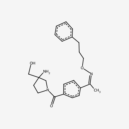 CC(=NOCCCc1ccccc1)c1ccc(C(=O)N2CCC(N)(CO)C2)cc1